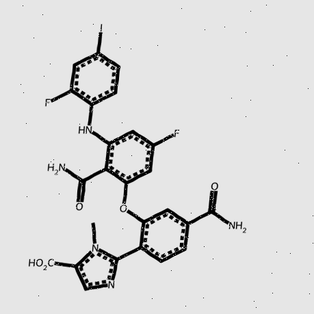 Cn1c(C(=O)O)cnc1-c1ccc(C(N)=O)cc1Oc1cc(F)cc(Nc2ccc(I)cc2F)c1C(N)=O